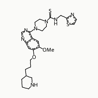 COc1cc2c(N3CCN(C(=S)NCc4nccs4)CC3)ncnc2cc1OCCCC1CCCNC1